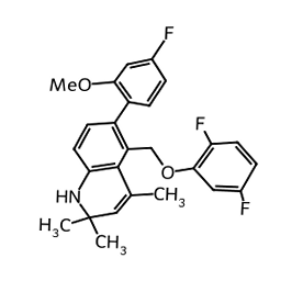 COc1cc(F)ccc1-c1ccc2c(c1COc1cc(F)ccc1F)C(C)=CC(C)(C)N2